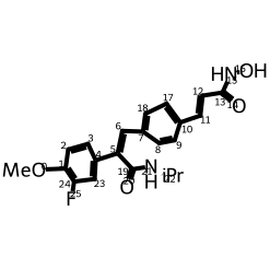 COc1ccc(/C(=C/c2ccc(/C=C/C(=O)NO)cc2)C(=O)NC(C)C)cc1F